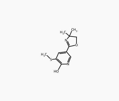 CSc1cc(C2=NC(C)(C)CO2)cnc1O